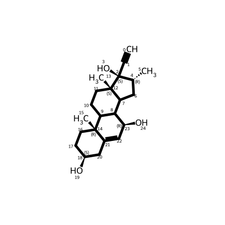 C#C[C@]1(O)[C@H](C)CC2C3C(CC[C@@]21C)[C@@]1(C)CC[C@H](O)CC1=C[C@@H]3O